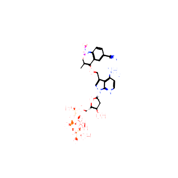 CC(C)[C@@H](OCc1cn([C@H]2CC(O)[C@@H](COP(=O)(O)OP(=O)(O)OP(=O)(O)O)O2)c2nccc(N)c12)c1cc(C#N)ccc1[N+](=O)[O-]